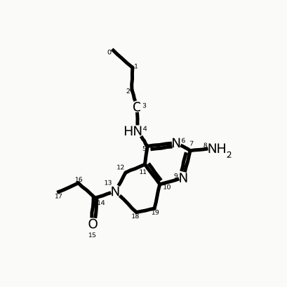 CCCCNc1nc(N)nc2c1CN(C(=O)CC)CC2